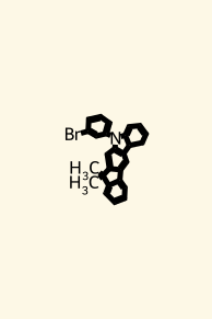 CC1(C)c2ccccc2-c2cc3c(cc21)N(c1cccc(Br)c1)C1=CC=CCC13